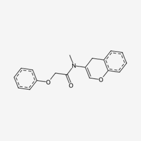 CN(C(=O)COc1ccccc1)C1=COc2ccccc2C1